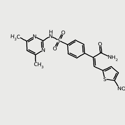 Cc1cc(C)nc(NS(=O)(=O)c2ccc(C(=Cc3ccc([N+](=O)[O-])s3)C(N)=O)cc2)n1